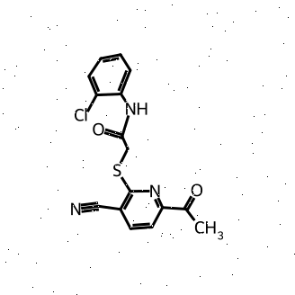 CC(=O)c1ccc(C#N)c(SCC(=O)Nc2ccccc2Cl)n1